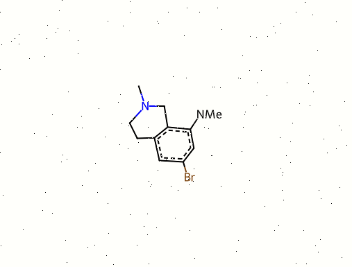 CNc1cc(Br)cc2c1CN(C)CC2